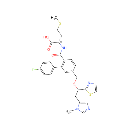 CSCC[C@H](NC(=O)c1ccc(COC(Cc2cncn2C)c2nccs2)cc1-c1ccc(F)cc1)C(=O)O